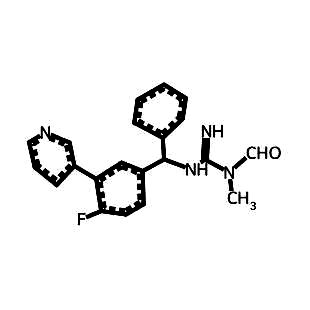 CN(C=O)C(=N)NC(c1ccccc1)c1ccc(F)c(-c2cccnc2)c1